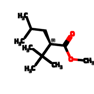 COC(=O)[C@H](CC(C)C)C(C)(C)C